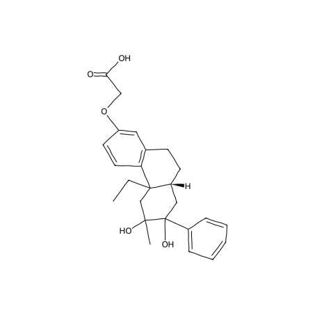 CCC12CC(C)(O)C(O)(c3ccccc3)C[C@H]1CCc1cc(OCC(=O)O)ccc12